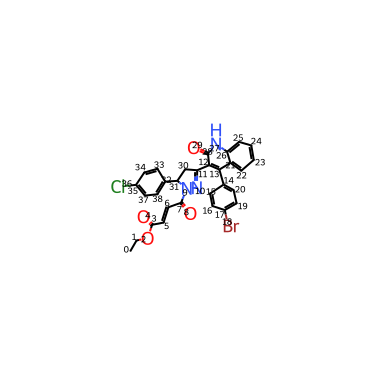 CCOC(=O)C=CC(=O)N1N=C(c2c(-c3ccc(Br)cc3)c3ccccc3[nH]c2=O)CC1c1ccc(Cl)cc1